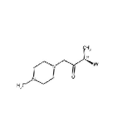 CC(C)[C@H](C)C(=O)CN1CCN(C)CC1